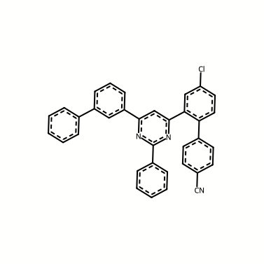 N#Cc1ccc(-c2ccc(Cl)cc2-c2cc(-c3cccc(-c4ccccc4)c3)nc(-c3ccccc3)n2)cc1